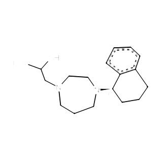 CC(C)CN1CCCN([C@@H]2CCCc3ccccc32)CC1